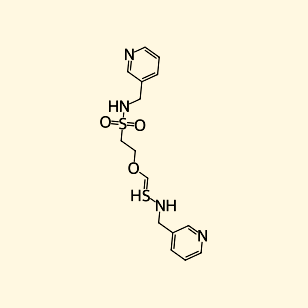 O=S(=O)(CCOC=[SH]NCc1cccnc1)NCc1cccnc1